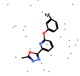 Cc1nnc(-c2cccc(Oc3cccc(C(F)(F)F)c3)n2)o1